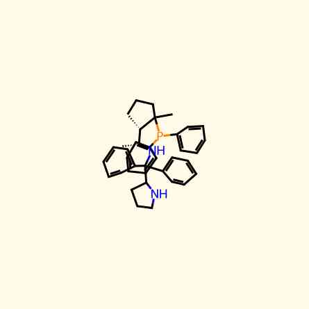 C[C@@H](NC(c1ccccc1)(c1ccccc1)C1CCCN1)[C@@H]1CCCC1(C)P(c1ccccc1)c1ccccc1